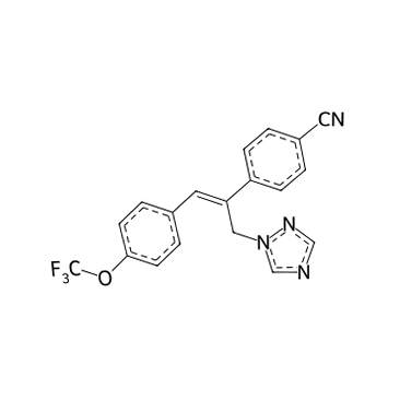 N#Cc1ccc(C(=Cc2ccc(OC(F)(F)F)cc2)Cn2cncn2)cc1